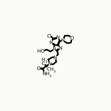 CC(C)(C(N)=O)N1CCN(Cc2nc3c(N4CCOCC4)nc(Cl)nc3n2CCO)CC1